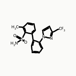 Cc1cccc(-c2ccccc2-n2ccc(C(F)(F)F)n2)c1S(N)(=O)=O